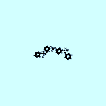 O=C(Oc1cccc(O[PH](=O)Oc2ccccc2)c1)Oc1cccc(O[PH](=O)Oc2ccccc2)c1